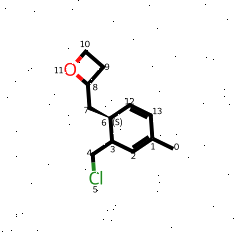 CC1=CC(CCl)[C@@H](CC2CCO2)C=C1